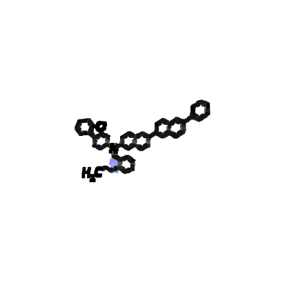 C=C/C=c1/cccc/c1=C\N(c1ccc2cc(-c3ccc4cc(-c5ccccc5)ccc4c3)ccc2c1)c1ccc2c(c1)oc1ccccc12